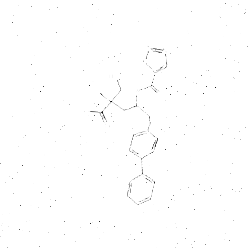 CC(CO)(CC(Cc1ccc(-c2ccccc2)cc1)NC(=O)c1cnn[nH]1)C(=O)O